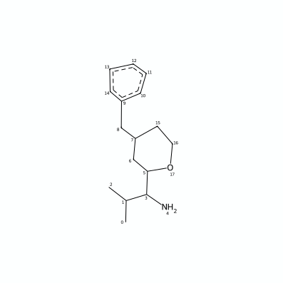 CC(C)C(N)C1CC(Cc2ccccc2)CCO1